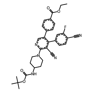 CCOC(=O)c1ccc(-c2cnc(N3CCC(NC(=O)OC(C)(C)C)CC3)c(C#N)c2-c2ccc(C#N)c(F)c2)cc1